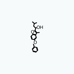 Cc1c(C(O)CC(C)C)oc2ccc(OCc3ccccc3)cc12